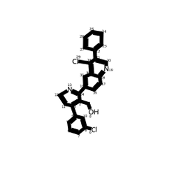 OCc1c(-c2cccc(Cl)c2)ccnc1-c1ccc2ncc(-c3ccccc3)c(Cl)c2c1